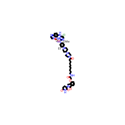 CCc1cc(Nc2ncc(Cl)c(Nc3ccc4nccnc4c3NS(C)(=O)=O)n2)c(OC)cc1N1CCC(N2CCN(C(=O)CCCCCCCCCNC(=O)COc3cccc4c3CN(C3CCC(=O)NC3=O)C4=O)CC2)CC1